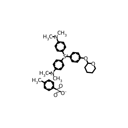 CN(C)c1ccc([S+](c2ccc(OC3CCCCO3)cc2)c2ccc(N(C)C)cc2)cc1.Cc1ccc(S(=O)(=O)[O-])cc1